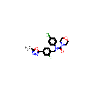 O=C(N1CCOCC1)N(Cc1ccc(-c2nnc(C(F)(F)F)o2)cc1F)c1ccc(Cl)cc1